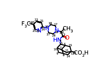 C[C@@H](C(=O)NC1C2CC3CC1CC(C(=O)O)(C3)C2)N1CCN(c2ccc(C(F)(F)F)cn2)CC1